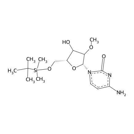 COC1C(O)[C@@H](CO[Si](C)(C)C(C)(C)C)O[C@H]1n1ccc(N)nc1=O